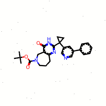 CC(C)(C)OC(=O)N1CCCc2nc(C3(c4cncc(-c5ccccc5)c4)CC3)[nH]c(=O)c2C1